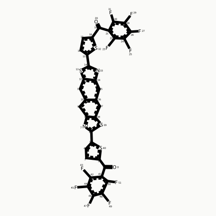 O=C(c1ccc(-c2nc3cc4cc5sc(-c6ccc(C(=O)c7c(F)c(F)c(F)c(F)c7F)s6)nc5cc4cc3s2)s1)c1c(F)c(F)c(F)c(F)c1F